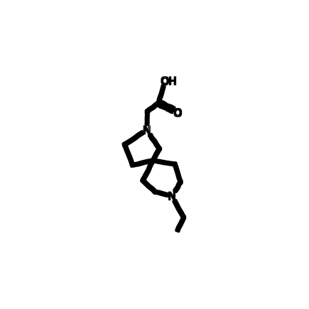 CCN1CCC2(CC1)CCN(CC(=O)O)C2